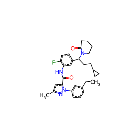 CCc1cccc(-n2nc(C)cc2C(=O)Nc2cc(C(CCC3CC3)N3CCCCC3=O)ccc2F)c1